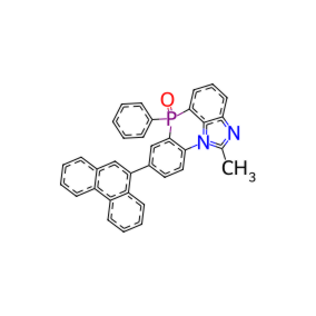 Cc1nc2cccc3c2n1-c1ccc(-c2cc4ccccc4c4ccccc24)cc1P3(=O)c1ccccc1